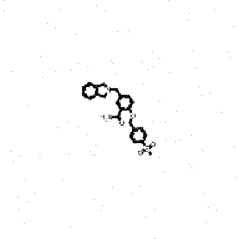 CS(=O)(=O)c1ccc(COc2ccc(CN3Cc4ccccc4C3)cc2C(N)=O)cc1